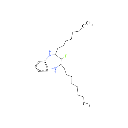 CCCCCCCCC1Nc2ccccc2NC(CCCCCCCC)C1F